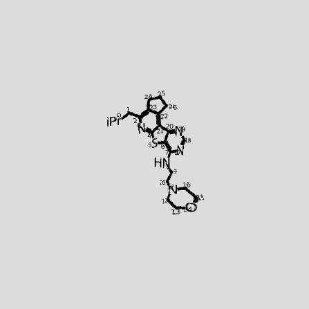 CC(C)Cc1nc2sc3c(NCCN4CCOCC4)ncnc3c2c2c1CCC2